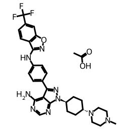 CC(=O)O.CN1CCN([C@H]2CC[C@H](n3nc(-c4ccc(Nc5noc6cc(C(F)(F)F)ccc56)cc4)c4c(N)ncnc43)CC2)CC1